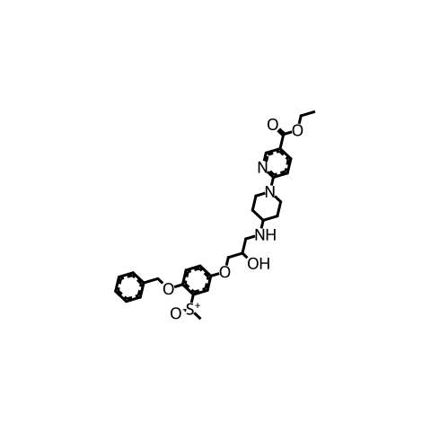 CCOC(=O)c1ccc(N2CCC(NCC(O)COc3ccc(OCc4ccccc4)c([S+](C)[O-])c3)CC2)nc1